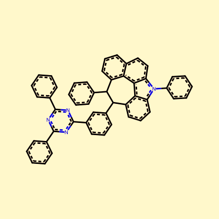 c1ccc(-c2nc(-c3ccccc3)nc(-c3cccc(C4c5cccc6c5c5c7c(cccc7ccc5n6-c5ccccc5)C4c4ccccc4)c3)n2)cc1